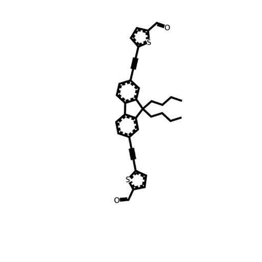 CCCCC1(CCCC)c2cc(C#Cc3ccc(C=O)s3)ccc2-c2ccc(C#Cc3ccc(C=O)s3)cc21